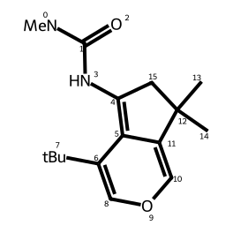 CNC(=O)NC1=C2C(C(C)(C)C)=COC=C2C(C)(C)C1